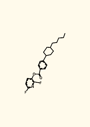 CCCCCC1CCC(c2ccc(C(=O)Oc3ccc(F)nc3F)cc2)CC1